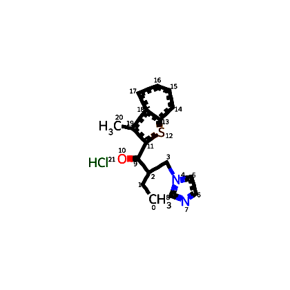 CCC(Cn1ccnc1)C(=O)c1sc2ccccc2c1C.Cl